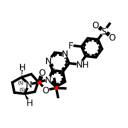 CC(C)(C)OC(=O)N1[C@H]2CC[C@H]1CC(n1ccc3c(Nc4ccc(S(C)(=O)=O)cc4F)ncnc31)C2